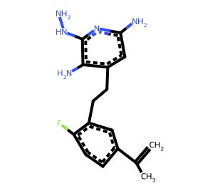 C=C(C)c1ccc(F)c(CCc2cc(N)nc(NN)c2N)c1